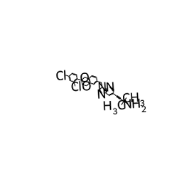 CC(C)(N)C#Cc1cnc2c(c1)ncn2Cc1ccc2c(c1)OCC(c1ccc(Cl)cc1Cl)O2